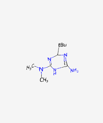 CN(C)C1=NC(C(C)(C)C)N=C(N)N1